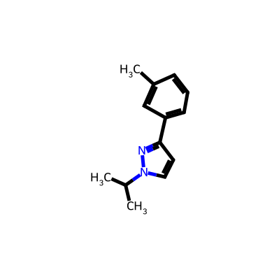 Cc1cccc(-c2ccn(C(C)C)n2)c1